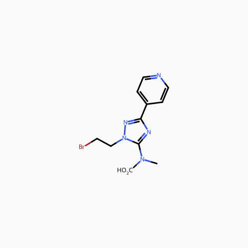 CN(C(=O)O)c1nc(-c2ccncc2)nn1CCBr